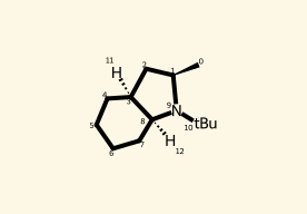 C[C@@H]1C[C@@H]2CCCC[C@@H]2N1C(C)(C)C